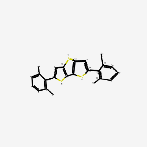 Cc1cccc(C)c1-c1cc2sc3cc(-c4c(C)cccc4C)sc3c2s1